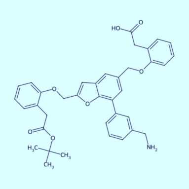 CC(C)(C)OC(=O)Cc1ccccc1OCc1cc2cc(COc3ccccc3CC(=O)O)cc(-c3cccc(CN)c3)c2o1